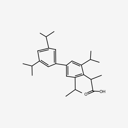 CC(C)c1cc(-c2cc(C(C)C)c(C(C)C(=O)O)c(C(C)C)c2)cc(C(C)C)c1